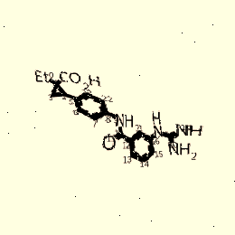 CCC1(C(=O)O)CC1c1ccc(NC(=O)c2cccc(NC(=N)N)c2)cc1